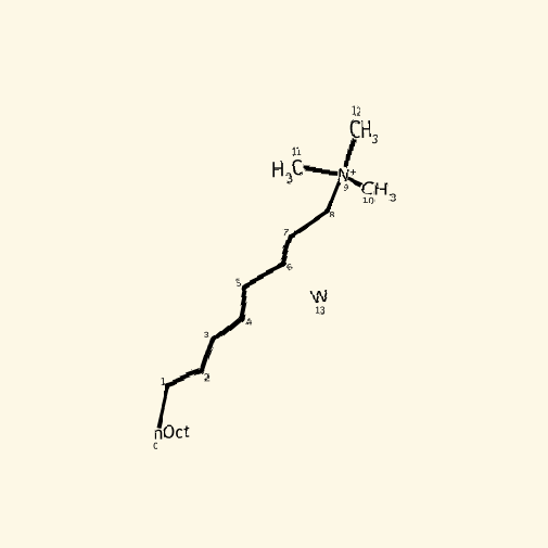 CCCCCCCCCCCCCCCC[N+](C)(C)C.[W]